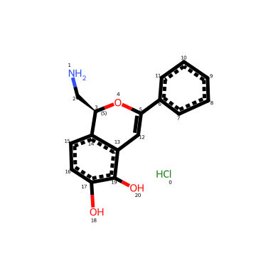 Cl.NC[C@H]1OC(c2ccccc2)=Cc2c1ccc(O)c2O